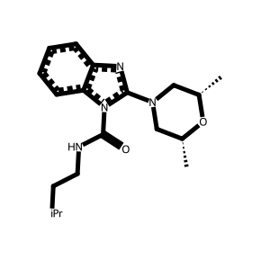 CC(C)CCNC(=O)n1c(N2C[C@@H](C)O[C@@H](C)C2)nc2ccccc21